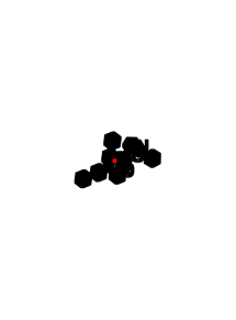 c1ccc(-c2ccc(N(c3ccc(-c4ccccc4)cc3)c3cccc4oc5cc(-c6cccc7nc(-c8ccccc8)oc67)ccc5c34)cc2)cc1